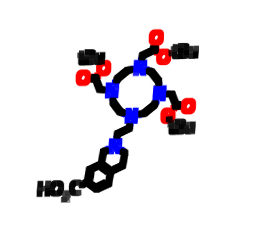 CC(C)(C)OC(=O)CN1CCN(CCN2CCc3ccc(C(=O)O)cc3C2)CCN(CC(=O)OC(C)(C)C)CCN(CC(=O)OC(C)(C)C)CC1